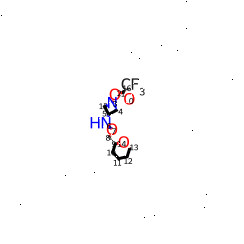 O=C(ON1CC(NOC[C@H]2CCCCO2)C1)C(F)(F)F